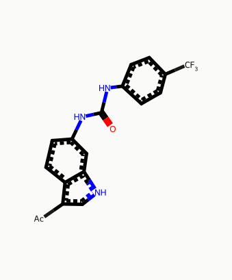 CC(=O)c1c[nH]c2cc(NC(=O)Nc3ccc(C(F)(F)F)cc3)ccc12